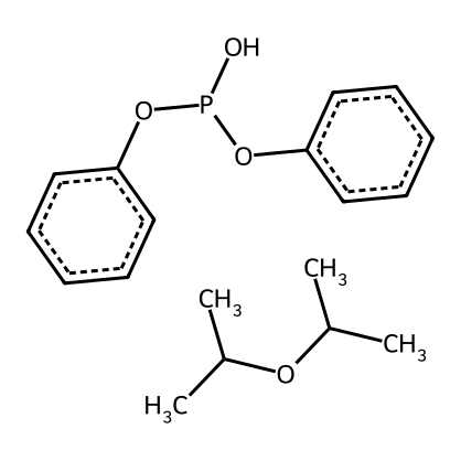 CC(C)OC(C)C.OP(Oc1ccccc1)Oc1ccccc1